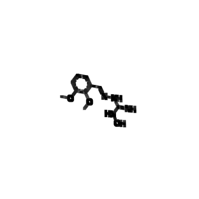 COc1cccc(C=NNC(=N)NO)c1OC